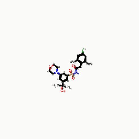 CC(C)c1cc(F)cc(C(C)C)c1CC(=O)NS(=O)(=O)c1cc(N2CCOCC2)cc(C(C)(C)O)c1